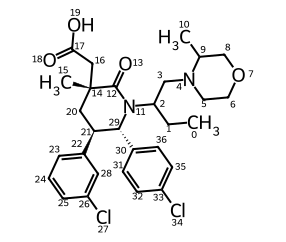 CCC(CN1CCOCC1C)N1C(=O)[C@@](C)(CC(=O)O)C[C@H](c2cccc(Cl)c2)[C@H]1c1ccc(Cl)cc1